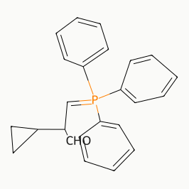 O=CC(C=P(c1ccccc1)(c1ccccc1)c1ccccc1)C1CC1